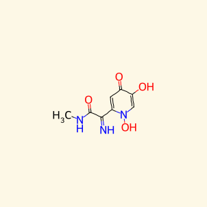 CNC(=O)C(=N)c1cc(=O)c(O)cn1O